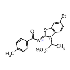 CCc1ccc2c(c1)s/c(=N\C(=O)c1ccc(C)cc1)n2C(C)C(=O)O